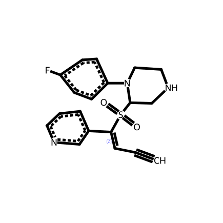 C#C/C=C(/c1cccnc1)S(=O)(=O)C1CNCCN1c1ccc(F)cc1